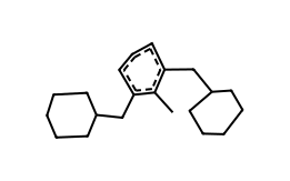 Cc1c(CC2CCCCC2)cccc1CC1CCCCC1